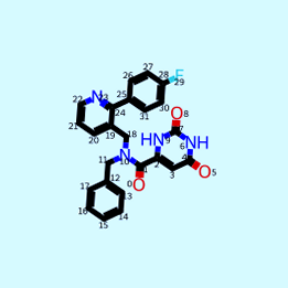 O=C(c1cc(=O)[nH]c(=O)[nH]1)N(Cc1ccccc1)Cc1cccnc1-c1ccc(F)cc1